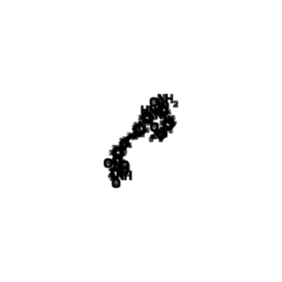 CN1CCN([C@@H]2CCCN(c3cnc(C(N)=O)c(Nc4ccc(N5CCN(CCC6CN(c7ccc8c(c7)C(=O)N(C7CCC(=O)NC7=O)C8=O)C6)CC5)cc4)n3)C2)C1=O